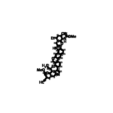 C#CC(C#COC)CN(Cc1ncc(-c2ccc3c(c2)COc2cc4c(ccc5nc(CN6C(=O)[C@@H](NC(=O)OC)C(C)C[C@H]6CC)[nH]c54)cc2-3)[nH]1)C(=O)C[C@H](C=C)CC